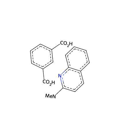 CNc1ccc2ccccc2n1.O=C(O)c1cccc(C(=O)O)c1